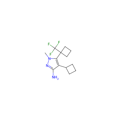 Cn1nc(N)c(C2CCC2)c1C1(C(F)(F)F)CCC1